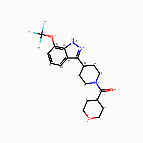 O=C(C1CCOCC1)N1CCC(c2n[nH]c3c(OC(F)(F)F)cccc23)CC1